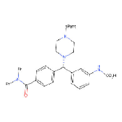 CCCCCN1CCN([C@@H](c2ccc(C(=O)N(CC)CC)cc2)c2cccc(NC(=O)O)c2)CC1